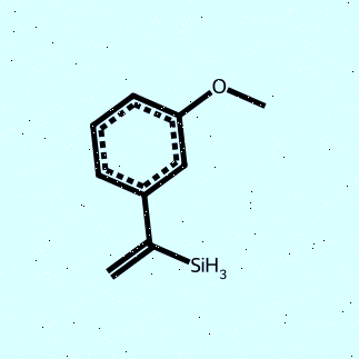 C=C([SiH3])c1cccc(OC)c1